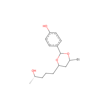 CCC1CC(CCC[C@H](C)O)OC(c2ccc(O)cc2)O1